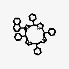 C1=Cc2nc1c(-c1ccccc1)c1ccc([nH]1)c(-c1ccccc1)c1nc(c(-c3ccccc3)c3[nH]c(cc3-c3cccc4ccccc34)c2-c2ccccc2)C=C1